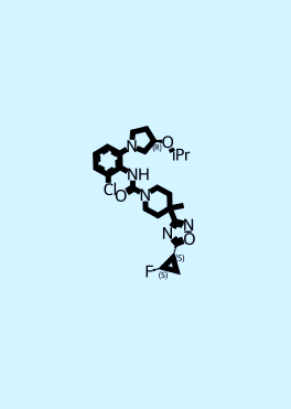 CC(C)O[C@@H]1CCN(c2cccc(Cl)c2NC(=O)N2CCC(C)(c3noc([C@@H]4C[C@@H]4F)n3)CC2)C1